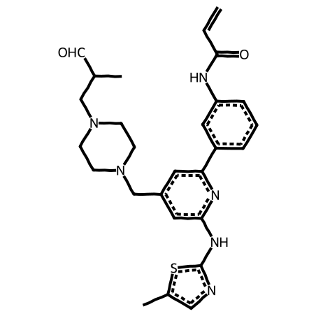 C=CC(=O)Nc1cccc(-c2cc(CN3CCN(CC(C)C=O)CC3)cc(Nc3ncc(C)s3)n2)c1